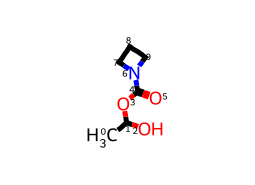 CC(O)OC(=O)N1CCC1